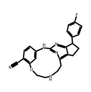 N#Cc1ccc2cc1OCCNCCc1nc(nc3c1CCC3c1ccc(F)cc1)N2